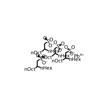 CCCCCCCCC(CCCCCC)CS(=O)(=O)[O-].CCCCCCCCC(CCCCCC)CS(=O)(=O)[O-].CCCCCCCCC(CCCCCC)CS(=O)(=O)[O-].CCCCCCCCC(CCCCCC)CS(=O)(=O)[O-].[Pb+4]